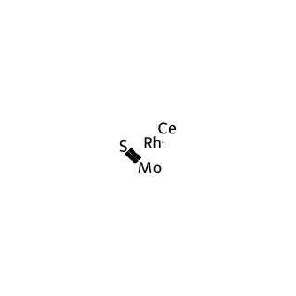 [Ce].[Rh].[S]=[Mo]